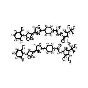 Cc1cc(C(F)(F)F)nn1CC(=O)N1CCC(c2nc(C3=NOC(c4c(F)cccc4F)C3)cs2)CC1.Cc1cc(C(F)(F)F)nn1CC(=O)N1CCC(c2nc(C3=NO[C@H](c4c(F)cccc4F)C3)cs2)CC1